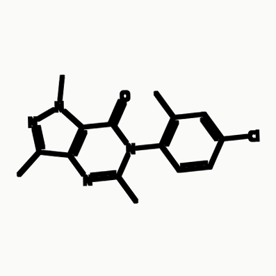 Cc1cc(Cl)ccc1-n1c(C)nc2c(C)nn(C)c2c1=O